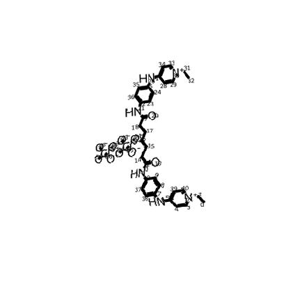 CC[n+]1ccc(Nc2ccc(NC(=O)CCCCCC(=O)Nc3ccc(Nc4cc[n+](CC)cc4)cc3)cc2)cc1.[O-][Cl+3]([O-])([O-])[O-].[O-][Cl+3]([O-])([O-])[O-]